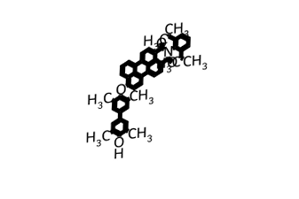 Cc1cc(-c2cc(C)c(Oc3ccc4c5ccc6c7c(ccc(c8cccc3c84)c75)C(=O)N(c3c(C(C)C)cccc3C(C)C)C6=O)c(C)c2)cc(C)c1O